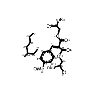 CCCCC(CC)COC(=O)C(=Cc1ccc(OC)cc1)C(=O)OCC(CC)CCCC.[CH2]C(CC)CCCC